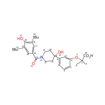 CC(C)(Oc1cccc(C2(O)CCN(C(=O)c3cc(C(C)(C)C)c(O)c(C(C)(C)C)c3)CC2)c1)C(=O)O